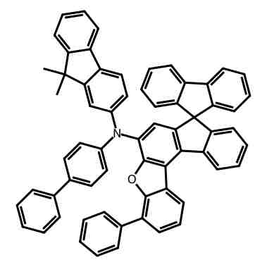 CC1(C)c2ccccc2-c2ccc(N(c3ccc(-c4ccccc4)cc3)c3cc4c(c5c3oc3c(-c6ccccc6)cccc35)-c3ccccc3C43c4ccccc4-c4ccccc43)cc21